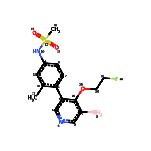 Bc1cncc(-c2ccc(NS(C)(=O)=O)cc2C)c1OCCF